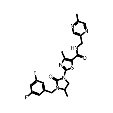 Cc1cnc(CNC(=O)c2sc(N3CC(C)N(Cc4cc(F)cc(F)c4)C3=O)nc2C)cn1